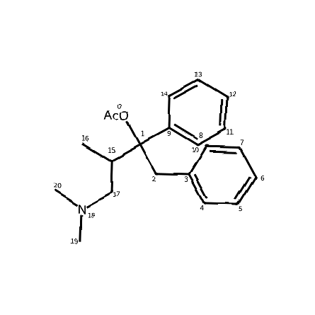 CC(=O)OC(Cc1ccccc1)(c1ccccc1)C(C)CN(C)C